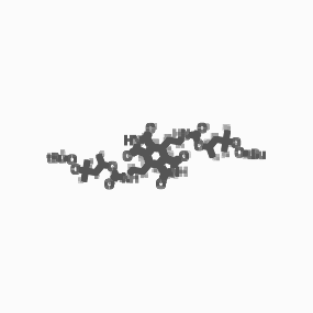 CC(CC(C)(C)OOC(C)(C)C)OC(=O)NCCc1c2c(=O)[nH]c(=O)c2c(CCNC(=O)OC(C)CC(C)(C)OOC(C)(C)C)c2c(=O)[nH]c(=O)c12